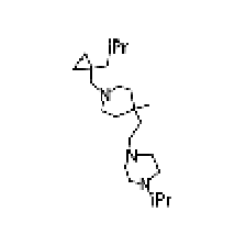 CC(C)CC1(CN2CCC(C)(CCN3CCN(C(C)C)CC3)CC2)CC1